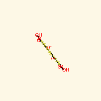 O=C(CCSCSCSCCC[S+]([O-])CCSCSCSCCSC(=O)CCSCSCSCCC(=O)OCCCO)OCCCO